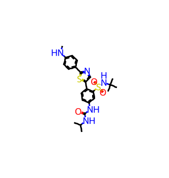 CNc1ccc(-c2ncc(-c3ccc(NC(=O)NC(C)C)cc3S(=O)(=O)NC(C)(C)C)s2)cc1